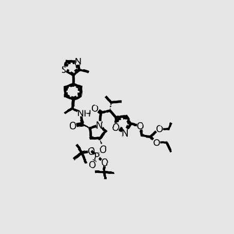 CCOC(COc1cc([C@H](C(=O)N2C[C@H](OP(=O)(OC(C)(C)C)OC(C)(C)C)C[C@H]2C(=O)NC(C)c2ccc(-c3scnc3C)cc2)C(C)C)on1)OCC